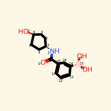 O=C(N[C@H]1CC[C@H](O)CC1)c1cccc(B(O)O)c1